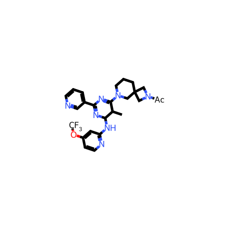 CC(=O)N1CC2(CCCN(C3=NC(c4cccnc4)=NC(Nc4cc(OC(F)(F)F)ccn4)C3C)C2)C1